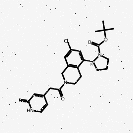 C=C1C=C(CC(=O)N2CCc3c(cc(Cl)cc3[C@@H]3CCCN3C(=O)OC(C)(C)C)C2)C=CN1